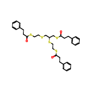 O=C(CCc1ccccc1)SCCSCC(CSC(=O)CCc1ccccc1)SCCSC(=O)CCc1ccccc1